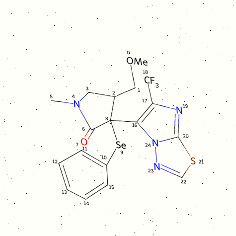 COCC1CN(C)C(=O)C1([Se]c1ccccc1)c1c(C(F)(F)F)nc2scnn12